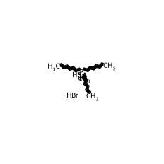 Br.CCCCCCCC[PH](CCCCCCCC)(CCCCCCCC)PC